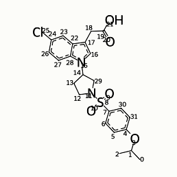 CC(C)Oc1ccc(S(=O)(=O)N2CCC(n3cc(CC(=O)O)c4cc(Cl)ccc43)C2)cc1